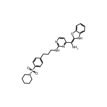 N/C(=C1\Nc2ccccc2O1)c1ccnc(NCCCc2ccc(S(=O)(=O)N3CCCCC3)cc2)n1